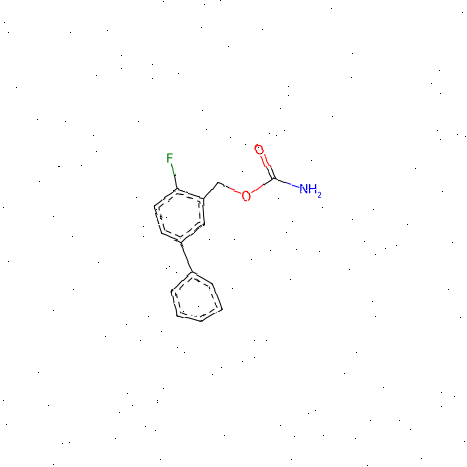 NC(=O)OCc1cc(-c2ccccc2)ccc1F